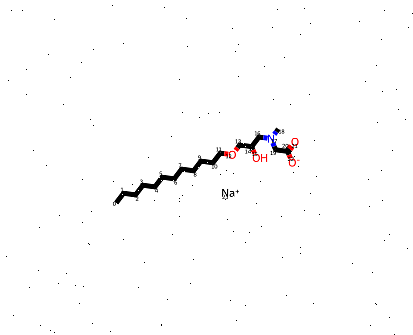 CCCCCCCCCCCCOCC(O)CN(C)CC(=O)[O-].[Na+]